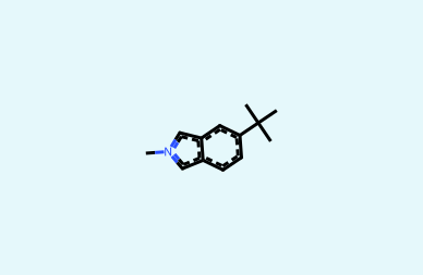 Cn1cc2ccc(C(C)(C)C)cc2c1